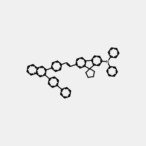 C(=C\c1ccc2c(c1)C1(CCCC1)c1cc(N(c3ccccc3)c3ccccc3)ccc1-2)/c1ccc(-c2cc3ccccc3cc2-c2ccc(-c3ccccc3)cc2)cc1